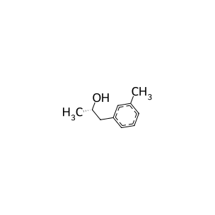 Cc1cccc(C[C@H](C)O)c1